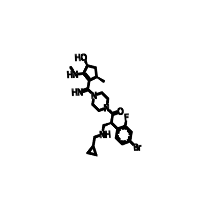 CNC1=C(C(=N)N2CCN(C(=O)[C@H](CNCC3CC3)c3ccc(Br)cc3F)CC2)[C@H](C)C[C@@H]1O